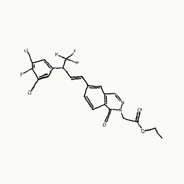 CCOC(=O)Cn1ncc2cc(/C=C/C(c3cc(Cl)c(F)c(Cl)c3)C(F)(F)F)ccc2c1=O